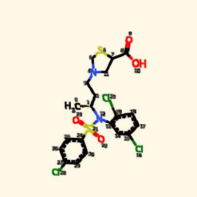 C[C@H](CCN1CSC(C(=O)O)C1)N(c1cc(Cl)ccc1Cl)S(=O)(=O)c1ccc(Cl)cc1